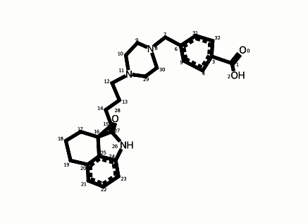 O=C(O)c1ccc(CN2CCN(CCCCC34CCCc5cccc(c53)NC4=O)CC2)cc1